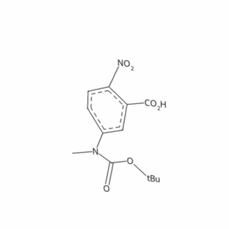 CN(C(=O)OC(C)(C)C)c1ccc([N+](=O)[O-])c(C(=O)O)c1